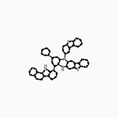 B1c2cc3sc4ccccc4c3cc2N(c2ccc3sc4ccccc4c3c2)c2cc(-c3ccccc3)cc(-c3cccc4c3[nH]c3c5ccccc5ccc43)c21